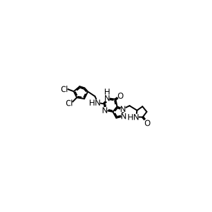 O=C1CCC(Cn2ncc3nc(NCc4ccc(Cl)c(Cl)c4)[nH]c(=O)c32)N1